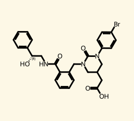 O=C(O)CC1CN(Cc2ccccc2C(=O)NC[C@H](O)c2ccccc2)C(=O)N(c2ccc(Br)cc2)C1